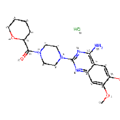 COc1cc2nc(N3CCN(C(=O)C4CCCCO4)CC3)nc(N)c2cc1OC.Cl